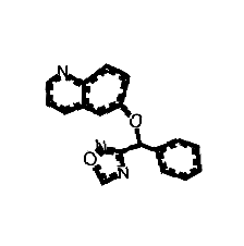 c1ccc(C(Oc2ccc3ncccc3c2)c2ncon2)cc1